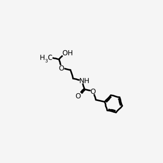 CC(O)OCCNC(=O)OCc1ccccc1